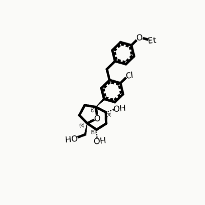 CCOc1ccc(Cc2cc([C@]34CC[C@](CO)(O3)[C@@H](O)C[C@H]4O)ccc2Cl)cc1